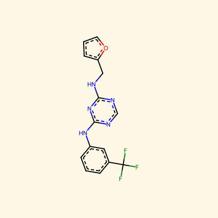 FC(F)(F)c1cccc(Nc2ncnc(NCc3ccco3)n2)c1